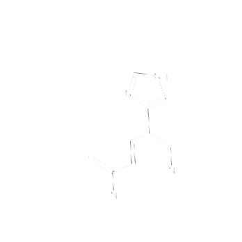 NCC(C=CC(N)=O)c1c[nH]cn1